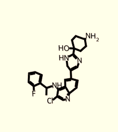 CC(Nc1c(Cl)cnc2ccc(C3=CN=C(C4(O)CCC(N)CC4)NC3)cc12)c1ccccc1F